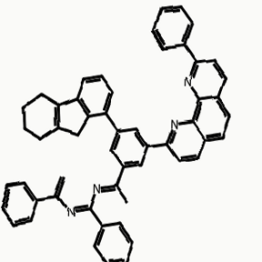 C=C(/N=C(\N=C(/C)c1cc(-c2ccc3ccc4ccc(-c5ccccc5)nc4c3n2)cc(-c2cccc3c2CC2=C3CCCC2)c1)c1ccccc1)c1ccccc1